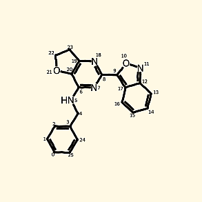 c1ccc(CNc2nc(-c3onc4ccccc34)nc3c2OCC3)cc1